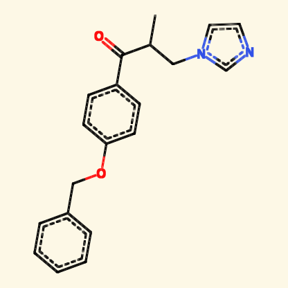 CC(Cn1ccnc1)C(=O)c1ccc(OCc2ccccc2)cc1